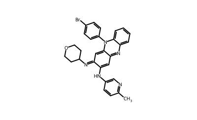 Cc1ccc(Nc2cc3nc4ccccc4n(-c4ccc(Br)cc4)c-3c/c2=N\C2CCOCC2)cn1